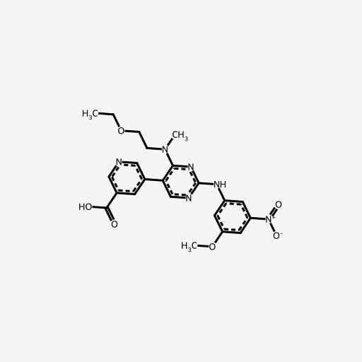 CCOCCN(C)c1nc(Nc2cc(OC)cc([N+](=O)[O-])c2)ncc1-c1cncc(C(=O)O)c1